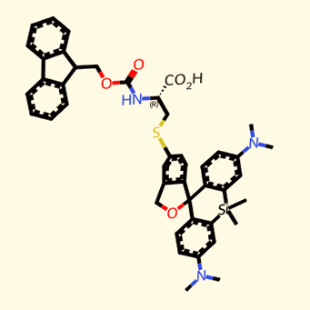 CN(C)c1ccc2c(c1)[Si](C)(C)c1cc(N(C)C)ccc1C21OCc2cc(SC[C@H](NC(=O)OCC3c4ccccc4-c4ccccc43)C(=O)O)ccc21